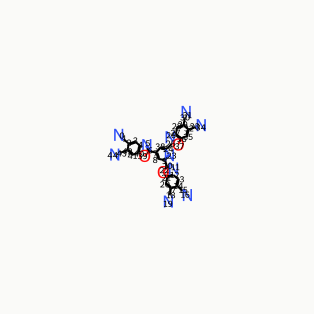 N#Cc1cc2nc(-c3cc(-c4nc5cc(C#N)c(C#N)cc5o4)nc(-c4nc5cc(C#N)c(C#N)cc5o4)c3)oc2cc1C#N